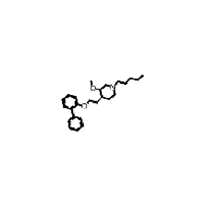 CCCCCN1CC[C@@H](CCOc2ccccc2-c2ccccc2)[C@@H](OC)C1